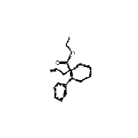 C=CCC1(C(=O)OCC)CCCCC1c1ccccc1